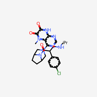 CC(C)NCC(C(=O)N1C2CCC1CN(c1ncnc3[nH]c(=O)c(=O)n(C)c13)C2)c1ccc(Cl)cc1